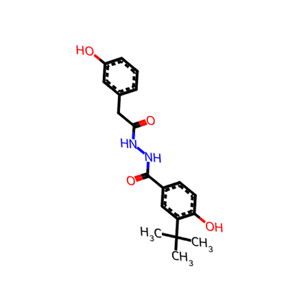 CC(C)(C)c1cc(C(=O)NNC(=O)Cc2cccc(O)c2)ccc1O